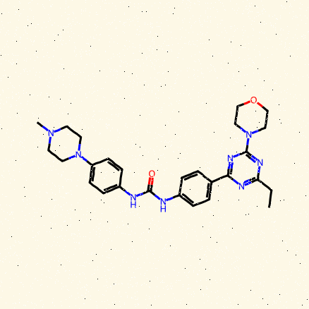 CCc1nc(-c2ccc(NC(=O)Nc3ccc(N4CCN(C)CC4)cc3)cc2)nc(N2CCOCC2)n1